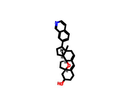 CC12CC=C3C=C4CCC(O)C[C@]45CC[C@]3(O5)[C@@H]1CCC2c1ccc2ccncc2c1